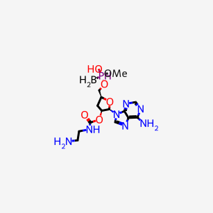 B[PH](O)(OC)OC[C@@H]1C[C@H](OC(=O)NCCN)[C@H](n2cnc3c(N)ncnc32)O1